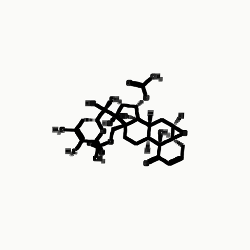 CC(=O)OC[C@]12CC[C@H]3[C@@H](C[C@H]4O[C@]45CC=CC(=O)[C@]35C)[C@]1(O)[C@@H](OC(C)=O)C[C@@]2(O)[C@@](C)(O)[C@H]1CC(C)=C(C)C(=O)O1